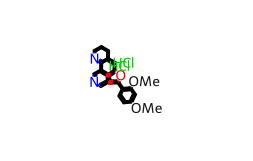 COc1ccc(-c2ccc(/C=C3/CCCN=C3c3cccnc3)o2)c(OC)c1.Cl.Cl